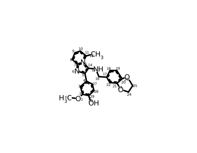 COc1cc(-c2nc3cccc(C)n3c2NCc2ccc3c(c2)OCCO3)ccc1O